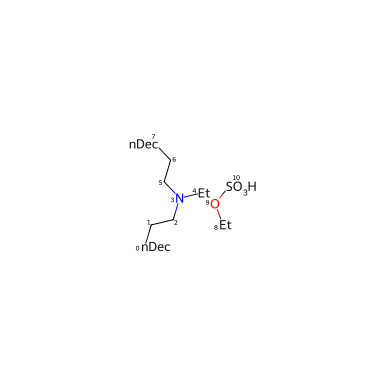 CCCCCCCCCCCCN(CC)CCCCCCCCCCCC.CCOS(=O)(=O)O